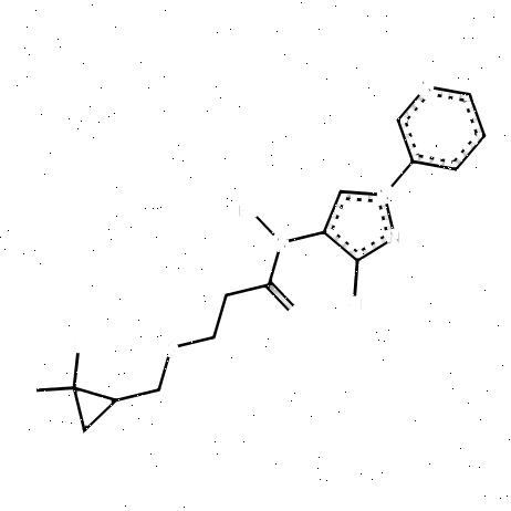 CCN(C(=O)CCSCC1CC1(F)F)c1cn(-c2cccnc2)nc1Cl